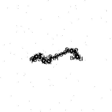 Cc1ccc(NC(=O)C2(c3ccc4c(c3)OC(F)(F)O4)CC2)nc1-c1cccc(C(=O)NCCOCCOCCOCC(=O)N2CCN(C(=O)[C@H]3Cc4cc(Cl)cc(Br)c4O3)CC2)c1